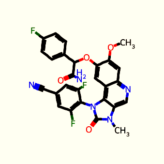 COc1cc2ncc3c(c2cc1OC(C(N)=O)c1ccc(F)cc1)n(-c1c(F)cc(C#N)cc1F)c(=O)n3C